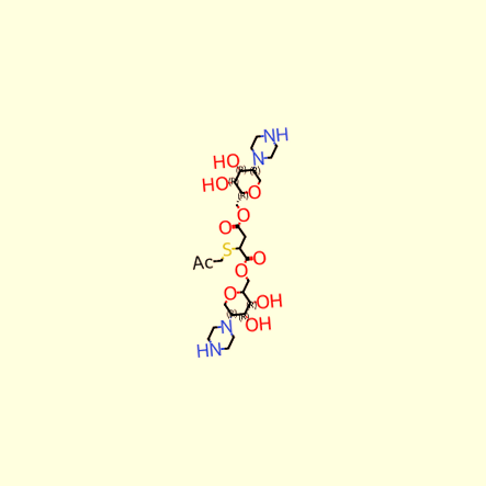 CC(=O)CSC(CC(=O)OC[C@H]1OC[C@@H](N2CCNCC2)[C@@H](O)[C@H]1O)C(=O)OCC1OC[C@@H](N2CCNCC2)[C@@H](O)[C@H]1O